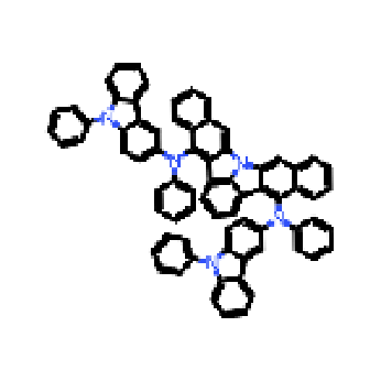 c1ccc(N(c2ccc3c(c2)c2ccccc2n3-c2ccccc2)c2c3ccccc3cc3c2c2cccc4c5c(N(c6ccccc6)c6ccc7c(c6)c6ccccc6n7-c6ccccc6)c6ccccc6cc5n3c24)cc1